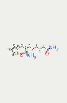 NC(=O)CCCCC=C(Cc1cccs1)C(N)=O